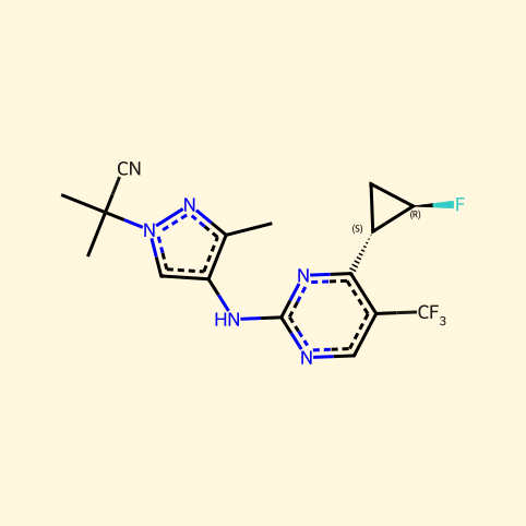 Cc1nn(C(C)(C)C#N)cc1Nc1ncc(C(F)(F)F)c([C@@H]2C[C@H]2F)n1